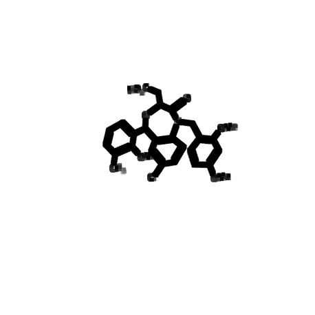 COc1ccc(CN2C(=O)C(CC(=O)O)OC(c3cccc(C)c3OC)c3cc(Cl)ccc32)c(OC)c1